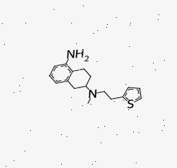 CN(CCc1cccs1)C1CCc2c(N)cccc2C1